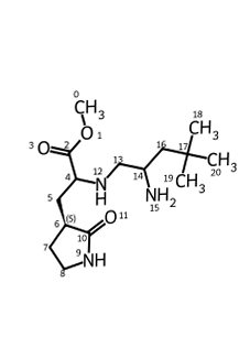 COC(=O)C(C[C@@H]1CCNC1=O)NCC(N)CC(C)(C)C